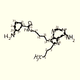 CCCCc1nc2c(N)ncnc2n1CCCCNC(=O)c1cccc(N)c1